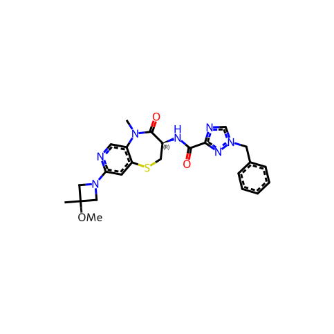 COC1(C)CN(c2cc3c(cn2)N(C)C(=O)[C@@H](NC(=O)c2ncn(Cc4ccccc4)n2)CS3)C1